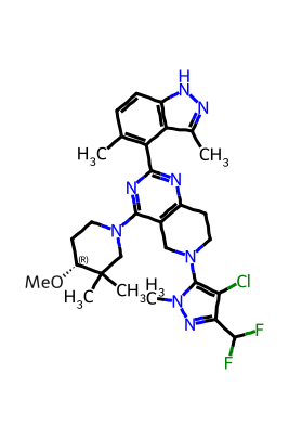 CO[C@@H]1CCN(c2nc(-c3c(C)ccc4[nH]nc(C)c34)nc3c2CN(c2c(Cl)c(C(F)F)nn2C)CC3)CC1(C)C